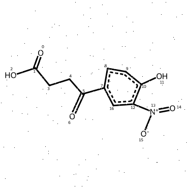 O=C(O)CCC(=O)c1ccc(O)c([N+](=O)[O-])c1